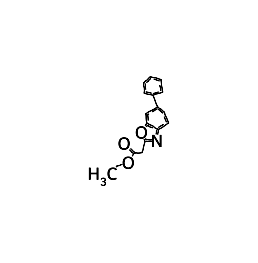 CCOC(=O)Cc1nc2ccc(-c3ccccc3)cc2o1